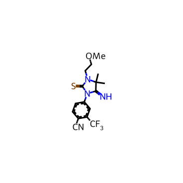 COCCN1C(=S)N(c2ccc(C#N)c(C(F)(F)F)c2)C(=N)C1(C)C